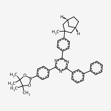 CC1(c2ccc(-c3nc(-c4ccc(B5OC(C)(C)C(C)(C)O5)cc4)nc(-c4cccc(-c5ccccc5)c4)n3)cc2)C[C@@H]2CC[C@@H](C2)C1